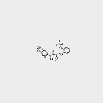 COc1ccc(C(C)NC(=O)COc2ccccc2OC(F)(F)F)nc1